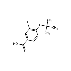 CC(C)(C)Oc1ccc(C(=O)O)cc1F